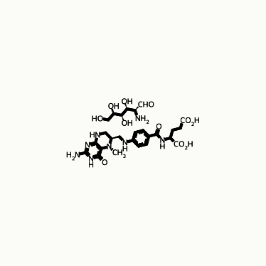 CN1c2c(nc(N)[nH]c2=O)NC[C@H]1CNc1ccc(C(=O)NC(CCC(=O)O)C(=O)O)cc1.N[C@@H](C=O)[C@@H](O)[C@H](O)[C@H](O)CO